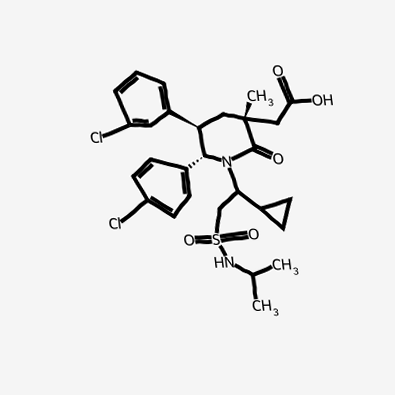 CC(C)NS(=O)(=O)CC(C1CC1)N1C(=O)[C@@](C)(CC(=O)O)C[C@H](c2cccc(Cl)c2)[C@H]1c1ccc(Cl)cc1